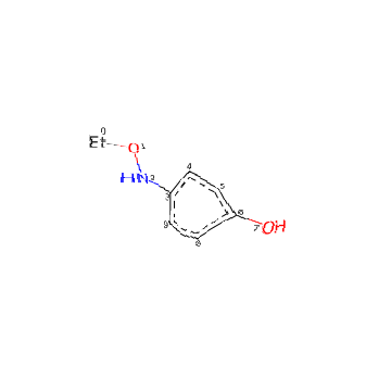 CCONc1ccc(O)cc1